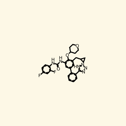 O=C(Nc1ccc(F)cc1F)Nc1cc(-c2ccccc2-c2nnn[nH]2)cc(CC2CC2)c1OC1CCOCC1